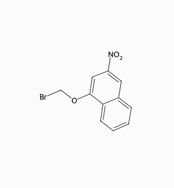 O=[N+]([O-])c1cc(OCBr)c2ccccc2c1